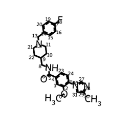 COc1cc(C(=O)NCC2CCN(Cc3ccc(F)cc3)CC2)ccc1-n1cnc(C)c1